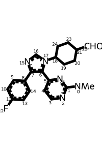 CNc1nccc(-c2c(-c3ccc(F)cc3)ncn2C2CCC(C=O)CC2)n1